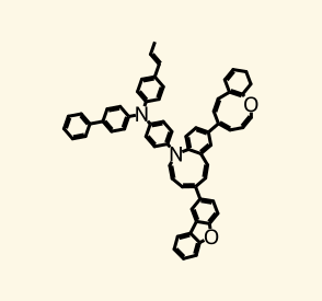 C/C=C/c1ccc(N(c2ccc(-c3ccccc3)cc2)c2ccc(-n3cccc(-c4ccc5oc6ccccc6c5c4)ccc4cc(-c5cccoc6c(cc5)C=CCC6)ccc43)cc2)cc1